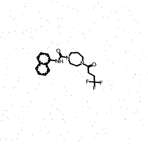 O=C(CCC(F)(F)F)N1CCCN(C(=O)Nc2cccc3ccccc23)CC1